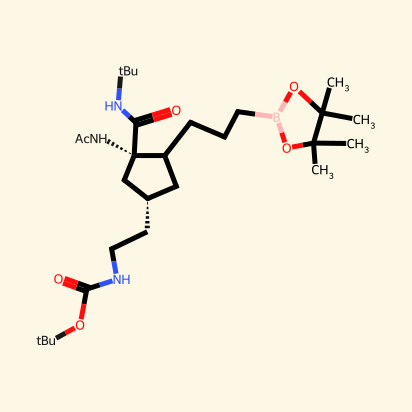 CC(=O)N[C@@]1(C(=O)NC(C)(C)C)C[C@@H](CCNC(=O)OC(C)(C)C)CC1CCCB1OC(C)(C)C(C)(C)O1